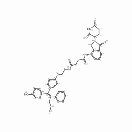 O=C(CCC(=O)Nc1cccc2c1CN(C1CCC(=O)NC1=O)C2=O)NCCOc1ccc(C(=C(CCCl)c2ccccc2)c2ccc(O)cc2)cc1